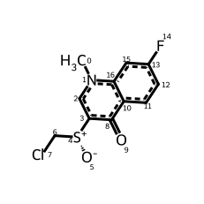 Cn1cc([S@+]([O-])CCl)c(=O)c2ccc(F)cc21